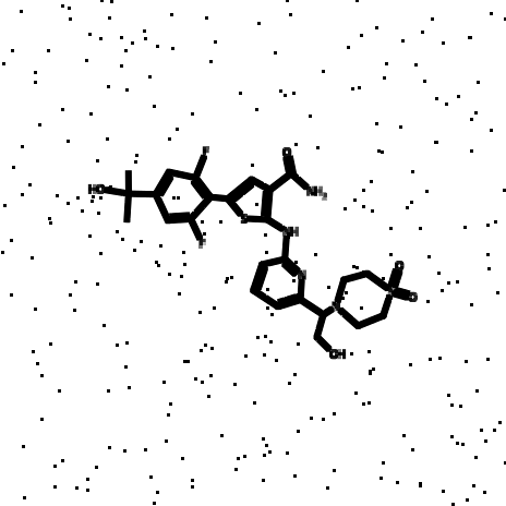 CC(C)(O)c1cc(F)c(-c2cc(C(N)=O)c(Nc3cccc(C(CO)N4CCS(=O)(=O)CC4)n3)s2)c(F)c1